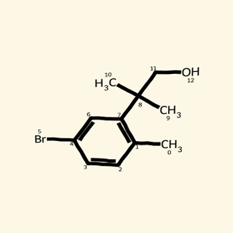 Cc1ccc(Br)cc1C(C)(C)CO